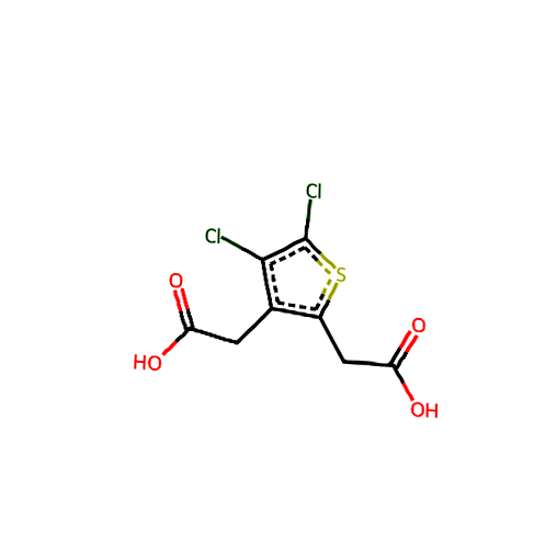 O=C(O)Cc1sc(Cl)c(Cl)c1CC(=O)O